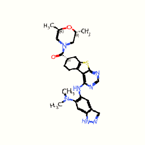 C[C@@H]1CN(C(=O)[C@H]2CCc3c(sc4ncnc(Nc5cc6cn[nH]c6cc5N(C)C)c34)C2)C[C@@H](C)O1